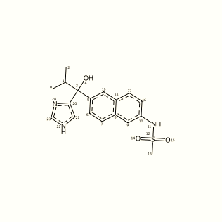 CC(C)C(O)(c1ccc2cc(NS(C)(=O)=O)ccc2c1)c1c[nH]cn1